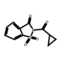 O=C1c2ccccc2S(=O)(=O)N1C(=O)C1CC1